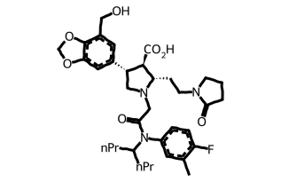 CCCC(CCC)N(C(=O)CN1C[C@H](c2cc(CO)c3c(c2)OCO3)[C@@H](C(=O)O)[C@@H]1CCN1CCCC1=O)c1ccc(F)c(C)c1